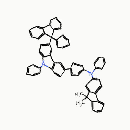 CC1(C)c2ccccc2-c2ccc(N(c3ccccc3)c3ccc(-c4ccc5c(c4)c4cc(C6(c7ccccc7)c7ccccc7-c7ccccc76)ccc4n5-c4ccccc4)cc3)cc21